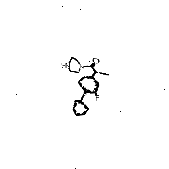 CC(C(=O)N1CCNCC1)c1ccc(-c2ccccc2)c(F)c1